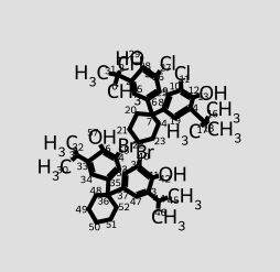 CC(C)(C)c1cc(C2(c3cc(Cl)c(O)c(C(C)(C)C)c3)CCCCC2)cc(Cl)c1O.CC(C)c1cc(C2(c3cc(Br)c(O)c(C(C)C)c3)CCCCC2)cc(Br)c1O